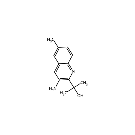 Cc1ccc2nc(C(C)(C)O)c(N)cc2c1